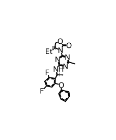 CC[C@H]1COC(=O)N1c1nc(C)nc(N[C@@H](C)c2c(F)cc(F)cc2Oc2ccccc2)n1